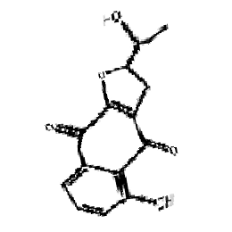 CC(O)C1CC2=C(O1)C(=O)c1cccc(O)c1C2=O